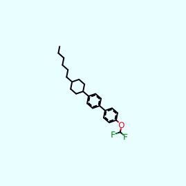 CCCCCCC1CCC(c2ccc(-c3ccc(OC(F)F)cc3)cc2)CC1